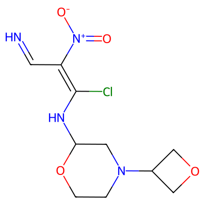 N=C/C(=C(/Cl)NC1CN(C2COC2)CCO1)[N+](=O)[O-]